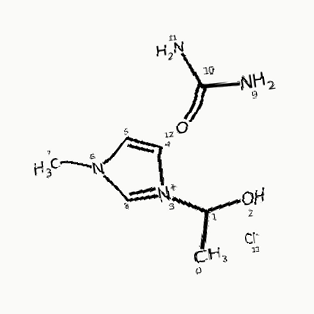 CC(O)[n+]1ccn(C)c1.NC(N)=O.[Cl-]